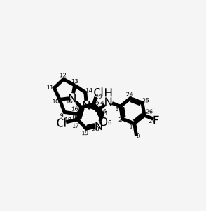 Cc1cc(NC(=O)N2CCC3CCC(C2)N3c2c(Cl)cncc2Cl)ccc1F